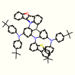 CC(C)(C)c1ccc(N(c2ccc(C(C)(C)C)cc2)c2ccc3c(c2)N(c2cccc4c2sc2ccccc24)c2cc(N(c4ccc(C(C)(C)C)cc4)c4ccc(C(C)(C)C)cc4)cc4c2B3c2cccc3c5oc6ccccc6c5n-4c23)cc1